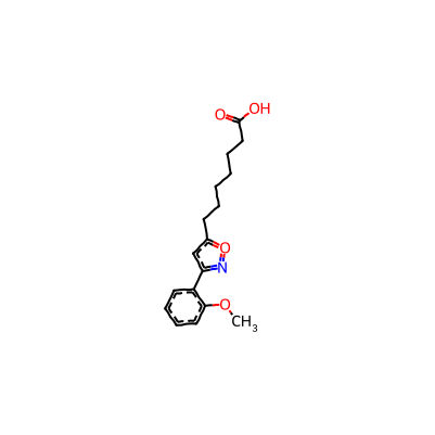 COc1ccccc1-c1cc(CCCCCCC(=O)O)on1